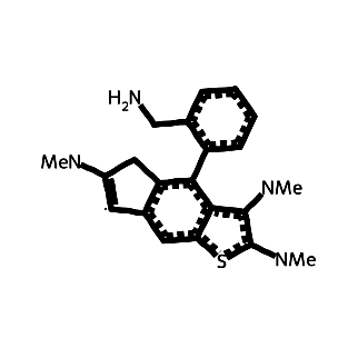 CNC1=[C]c2cc3sc(NC)c(NC)c3c(-c3ccccc3CN)c2C1